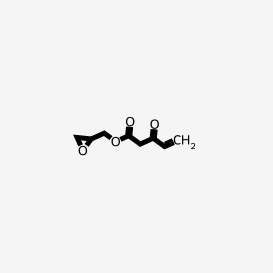 C=CC(=O)CC(=O)OCC1CO1